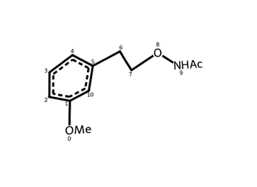 COc1cccc(CCONC(C)=O)c1